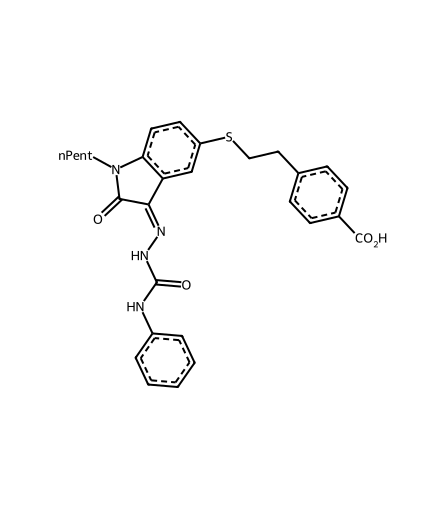 CCCCCN1C(=O)C(=NNC(=O)Nc2ccccc2)c2cc(SCCc3ccc(C(=O)O)cc3)ccc21